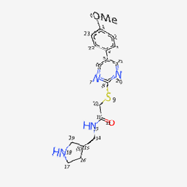 COc1ccc(-c2cnc(SCC(=O)NC[C@H]3CCNC3)nc2)cc1